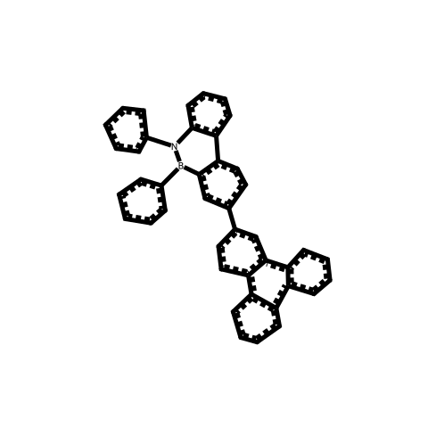 c1ccc(B2c3cc(-c4ccc5c6ccccc6c6ccccc6c5c4)ccc3-c3ccccc3N2c2ccccc2)cc1